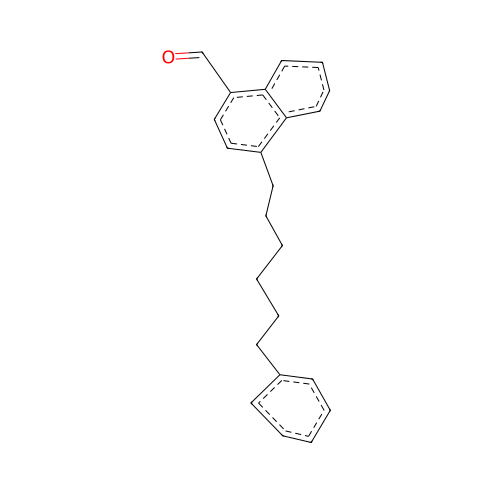 O=Cc1ccc(CCCCCCc2ccccc2)c2ccccc12